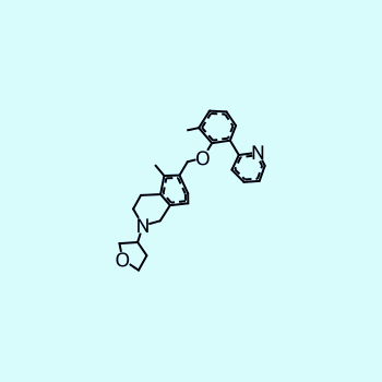 Cc1cccc(-c2ccccn2)c1OCc1ccc2c(c1C)CCN(C1CCOC1)C2